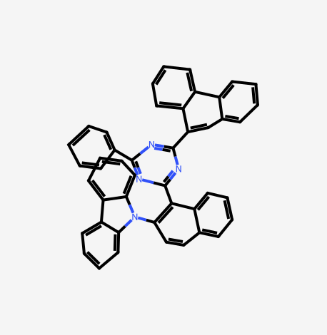 c1ccc(-c2nc(-c3c(-n4c5ccccc5c5ccccc54)ccc4ccccc34)nc(-c3cc4ccccc4c4ccccc34)n2)cc1